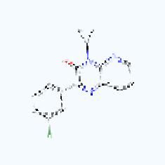 O=c1c(-c2cccc(Cl)c2)nc2cccnc2n1C1CC1